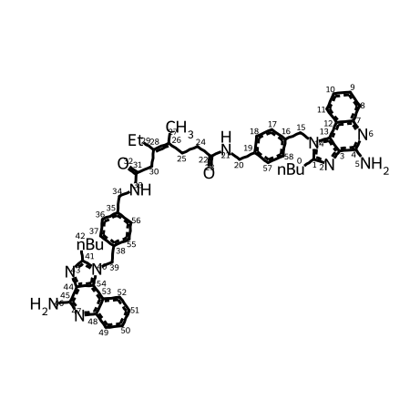 CCCCc1nc2c(N)nc3ccccc3c2n1Cc1ccc(CNC(=O)CC/C(C)=C(/CC)CC(=O)NCc2ccc(Cn3c(CCCC)nc4c(N)nc5ccccc5c43)cc2)cc1